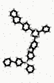 c1ccc(-c2ccc(N(c3ccccc3)c3ccc4c(c3)oc3cc(-c5nc(-c6ccccc6)nc(-c6ccc(-c7ccc8ccccc8c7)cc6)n5)ccc34)cc2)cc1